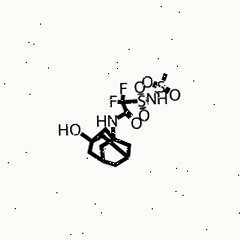 CS(=O)(=O)NS(=O)(=O)C(F)(F)C(=O)NC12CC3CC(CC(O)(C3)C1)C2